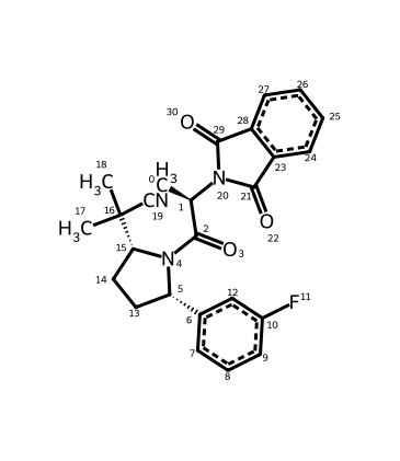 C[C@H](C(=O)N1[C@H](c2cccc(F)c2)CC[C@@H]1C(C)(C)C#N)N1C(=O)c2ccccc2C1=O